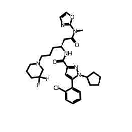 CN(C(=O)C[C@H](CCCN1CCCC(F)(F)C1)NC(=O)c1cc(-c2ccccc2Cl)n(C2CCCC2)n1)c1ncco1